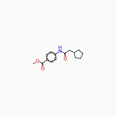 COC(=O)c1ccc(NC(=O)CC2CCCC2)cc1